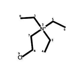 CC[N+](CC)(CC)CCCl